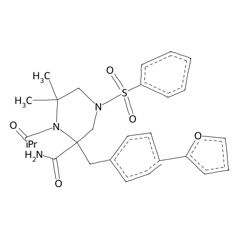 CC(C)C(=O)N1C(C)(C)CN(S(=O)(=O)c2ccccc2)CC1(Cc1ccc(-c2ccco2)cc1)C(N)=O